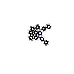 C1=CC(c2ccc(N(C3=CC=C(N(c4cccc5c4-c4ccccc4C54c5ccccc5-c5ccccc54)C4C=CC(c5ccccc5)=CC4)CC3)c3cccc(-c4ccccc4)c3)cc2)=CCC1